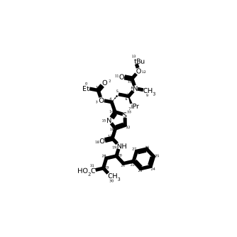 CCC(=O)O[C@H](C[C@H](C(C)C)N(C)C(=O)OC(C)(C)C)c1nc(C(=O)NC(Cc2ccccc2)CC(C)C(=O)O)cs1